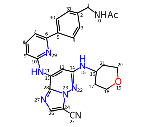 CC(=O)NCc1ccc(-c2cccc(Nc3cc(NC4CCOCC4)nn4c(C#N)cnc34)n2)cc1